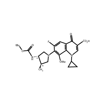 COc1c(N2C[C@@H](C)[C@H](NC(=O)OC(C)(C)C)C2)c(F)cc2c(=O)c(C(=O)O)cn(C3CC3)c12